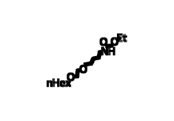 CCCCCCOCCOCCCCCNC(=O)COCC